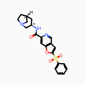 O=C(N[C@@H]1C[C@H]2CCN(C2)C1)c1cc2oc(S(=O)(=O)c3ccccc3)cc2cn1